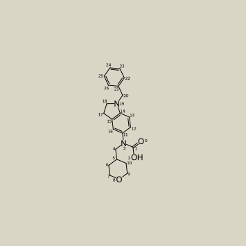 O=C(O)N(CC1CCOCC1)c1ccc2c(c1)CCN2Cc1ccccc1